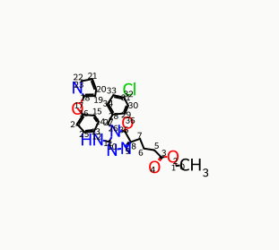 CCOC(=O)CCCc1nnc(Nc2ccc(Oc3ccccn3)cc2)n(Cc2ccc(Cl)cc2)c1=O